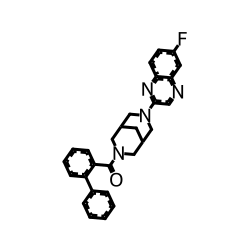 O=C(c1ccccc1-c1ccccc1)N1CC2CC(C1)CN(c1cnc3cc(F)ccc3n1)C2